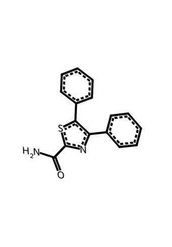 NC(=O)c1nc(-c2ccccc2)c(-c2ccccc2)s1